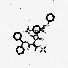 C/C(O[Si](C)(C)C)=C(\C(=O)OC(c1ccccc1)c1ccccc1)N1C(=O)C(NC(=O)COc2ccccc2)C1SS(=O)(=O)c1ccc(C)cc1